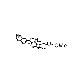 COCCO[C@@H]1CCC2=CC3=CC[C@]4(C)C(c5ccc6ccncc6c5)CC[C@H]4[C@@]34CC[C@]2(C1)O4